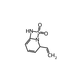 C=CC1C=CC=C2NS(=O)(=O)N21